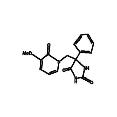 COc1cccn(CC2(c3ccccc3)NC(=O)NC2=O)c1=O